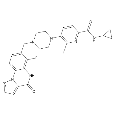 O=C(NC1CC1)c1ccc(N2CCN(Cc3ccc4c([nH]c(=O)c5ccnn54)c3F)CC2)c(F)n1